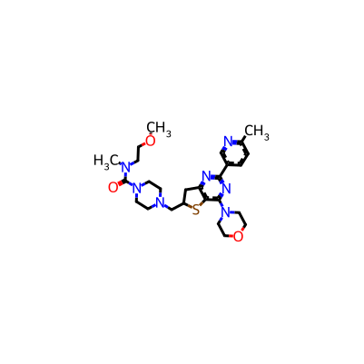 COCCN(C)C(=O)N1CCN(CC2Cc3nc(-c4ccc(C)nc4)nc(N4CCOCC4)c3S2)CC1